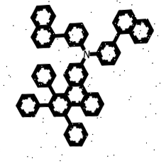 c1ccc(-c2cc(-c3ccccc3)c3c4ccccc4c4cc(N(c5cccc(-c6cccc7ccccc67)c5)c5cccc(-c6cccc7ccccc67)c5)ccc4c3c2-c2ccccc2)cc1